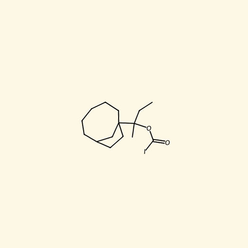 CCC(C)(OC(=O)I)C12CCCCCC(CC1)C2